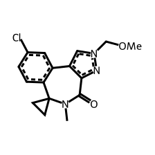 COCn1cc2c(n1)C(=O)N(C)C1(CC1)c1ccc(Cl)cc1-2